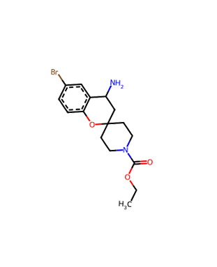 CCOC(=O)N1CCC2(CC1)CC(N)c1cc(Br)ccc1O2